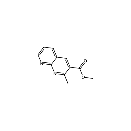 COC(=O)c1cc2cccnc2nc1C